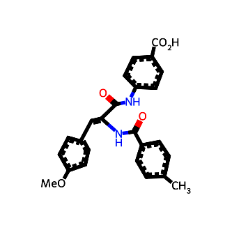 COc1ccc(/C=C(\NC(=O)c2ccc(C)cc2)C(=O)Nc2ccc(C(=O)O)cc2)cc1